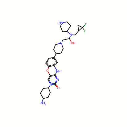 NC1CCC(n2cc3c(nc2=O)Nc2cc(C4CCN(CC(O)N(CC5CC5(F)F)C5CCNCC5)CC4)ccc2O3)CC1